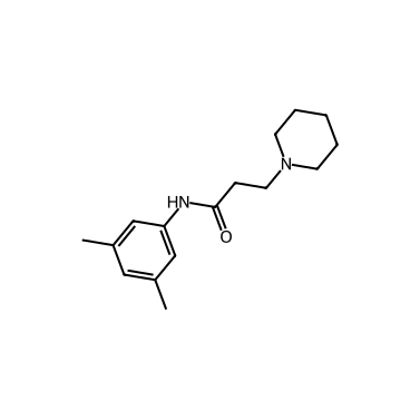 Cc1cc(C)cc(NC(=O)CCN2CCCCC2)c1